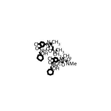 CNC(=O)N1C(=O)[N+](C)(c2ccc(Cl)c(C(=O)NCC3(O)CCCCCC3)c2)N=C1C.Cc1nn(-c2ccc(Cl)c(C(=O)NCC3(O)CCCCCC3)c2)c(=O)n1CC(=O)N(C)C